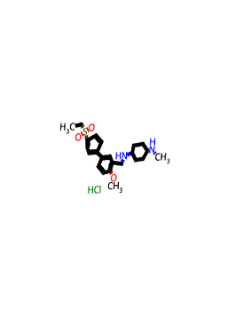 CCS(=O)(=O)c1ccc(-c2ccc(OC)c(CNC3CCC(NC)CC3)c2)cc1.Cl